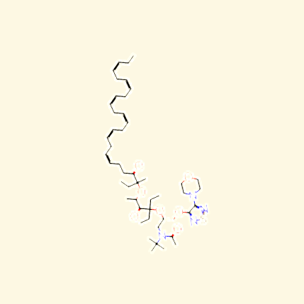 CC/C=C\C/C=C\C/C=C\C/C=C\C/C=C\C/C=C\CCC(=O)C(C)(CC)OC(C)C(=O)C(CC)(CC)O[C@H](COc1nsnc1N1CCOCC1)CN(C(C)=O)C(C)(C)C